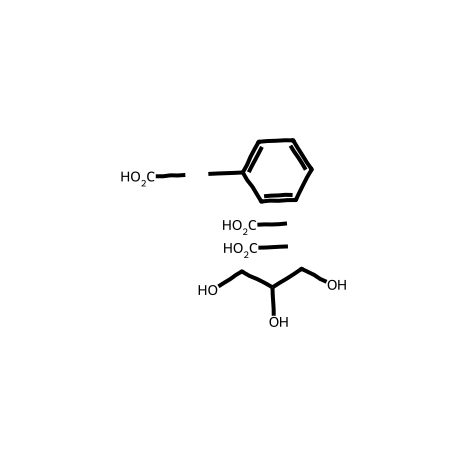 CC(=O)O.CC(=O)O.CC(=O)O.Cc1ccccc1.OCC(O)CO